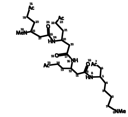 CNCCCCC(CC(C)=O)NC(=O)CC(CCC(C)=O)NC(=O)CC(CCC(C)=O)NC(=O)CC(CCC(C)=O)NC